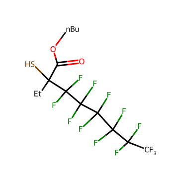 CCCCOC(=O)C(S)(CC)C(F)(F)C(F)(F)C(F)(F)C(F)(F)C(F)(F)C(F)(F)F